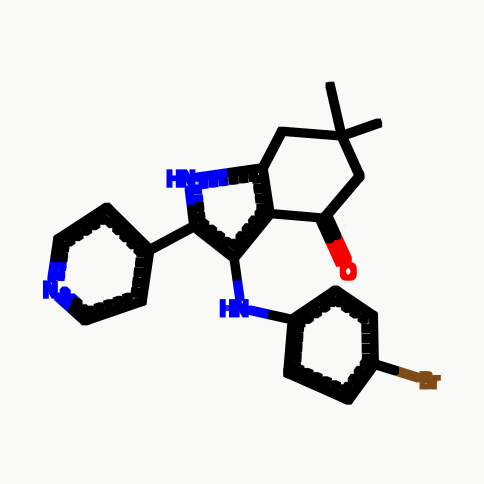 CC1(C)CC(=O)c2c([nH]c(-c3ccncc3)c2Nc2ccc(Br)cc2)C1